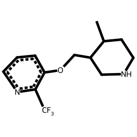 CC1CCNCC1COc1cccnc1C(F)(F)F